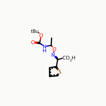 CC(NC(=O)OC(C)(C)C)ON=C(C(=O)O)c1cccs1